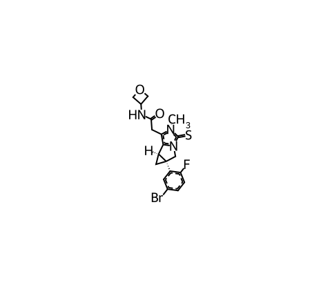 Cn1c(CC(=O)NC2COC2)c2n(c1=S)C[C@@]1(c3cc(Br)ccc3F)C[C@@H]21